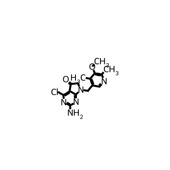 COc1c(C)ncc(CN2CC(=O)c3c(Cl)nc(N)nc32)c1C